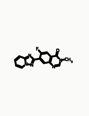 Cn1cnc2cc(-c3nc4ccccn4n3)c(F)cc2c1=O